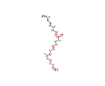 CCOCCOCC(C)OCCOCCCC(=O)OCCCCCCCC(C)C